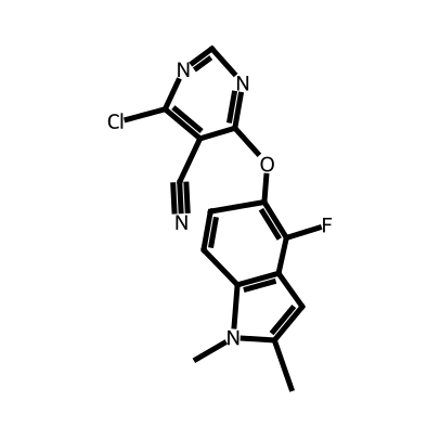 Cc1cc2c(F)c(Oc3ncnc(Cl)c3C#N)ccc2n1C